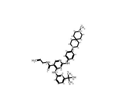 C=CCNC(=O)c1cnc(Nc2ccc(N3CCC4(CCN(C)CC4)CC3)cc2)nc1Nc1cccc(C(C)(C)O)n1